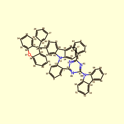 c1ccc(-c2nc(-c3ccccc3-n3c4ccccc4c4ccc([Si]5(c6ccccc6)c6ccccc6Oc6ccccc65)cc43)nc(-n3c4ccccc4c4ccccc43)n2)cc1